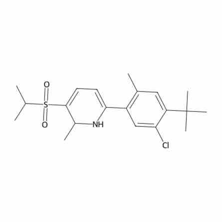 Cc1cc(C(C)(C)C)c(Cl)cc1C1=CC=C(S(=O)(=O)C(C)C)C(C)N1